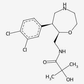 CC(C)(O)C(=O)NC[C@@H]1OCCNC[C@@H]1c1ccc(Cl)c(Cl)c1